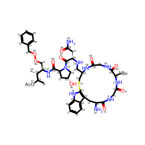 CCC(C)C1NC(=O)CNC(=O)C(N)Cc2c([nH]c3ccccc23)SCC(CN[C@@H](CC(N)=O)C(=O)N2C[C@H](O)CC2C(=O)N[C@H](COOCc2ccccc2)[C@@H](C)C(C)OC(C)=O)NC(=O)CNC1=O